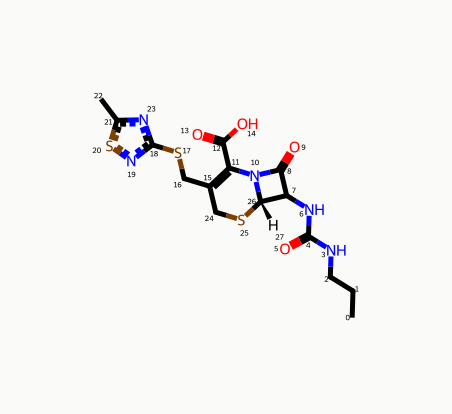 CCCNC(=O)NC1C(=O)N2C(C(=O)O)=C(CSc3nsc(C)n3)CS[C@@H]12